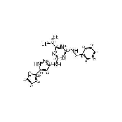 CCN(CC)c1nc(NCc2ccccc2)nc(Nc2cc(-c3ccco3)[nH]n2)n1